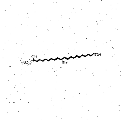 O=C(O)C(O)CCCCCCCCCCCCCCCCCCCCO.[KH]